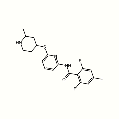 CC1CC(Sc2cccc(NC(=O)c3c(F)cc(F)cc3F)n2)CCN1